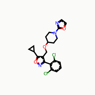 Clc1cccc(Cl)c1-c1noc(C2CC2)c1COC1CCN(c2ncco2)CC1